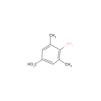 Bc1c(C)cc(C(=O)O)cc1C